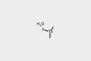 O.[F][Ta]([F])[F]